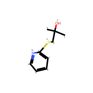 CC(C)(O)CSc1ccccn1